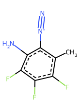 Cc1c(F)c(F)c(F)c(N)c1[N+]#N